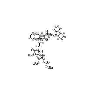 CC(C)(C)OC(=O)CC[C@H](NC(=O)N[C@@H](CCCCNC(=O)[C@H](Cc1ccc2ccccc2c1)NC(=O)OCC1c2ccccc2-c2ccccc21)C(=O)OC(C)(C)C)C(=O)OC(C)(C)C